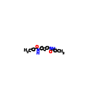 Cc1ccc(C(=O)Nc2ccc3c(c2)Cc2cc(NC(=O)c4ccc(C)cc4)ccc2-3)cc1